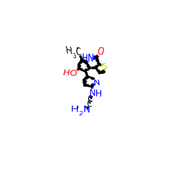 Cc1cc(O)c(-c2ccc(NCCN)nc2)c2c1[nH]c(=O)c1sccc12